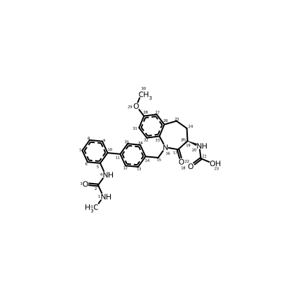 CNC(=O)Nc1ccccc1-c1ccc(CN2C(=O)[C@H](NC(=O)O)CCc3cc(OC)ccc32)cc1